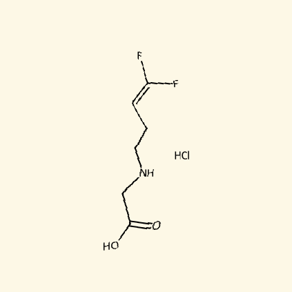 Cl.O=C(O)CNCCC=C(F)F